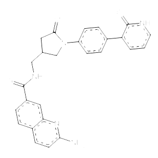 Nc1ccc2ccc(C(=O)NCC3CC(=O)N(c4ccc(-c5ccc[nH]c5=O)cc4)C3)cc2n1